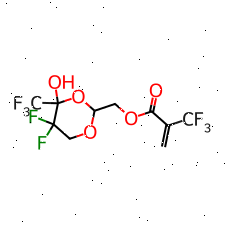 C=C(C(=O)OCC1OCC(F)(F)C(O)(C(F)(F)F)O1)C(F)(F)F